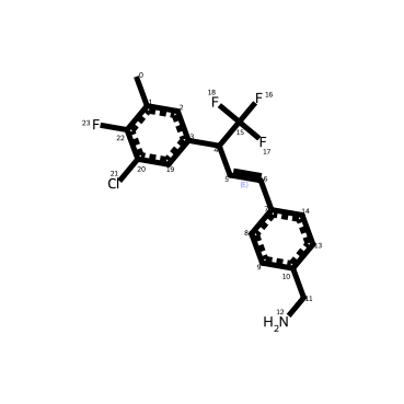 Cc1cc(C(/C=C/c2ccc(CN)cc2)C(F)(F)F)cc(Cl)c1F